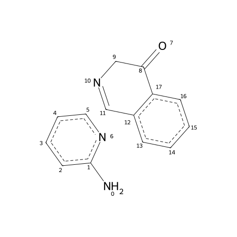 Nc1ccccn1.O=C1CN=Cc2ccccc21